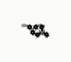 CC(C)(C)c1ccc(N(c2ccc(C(C)(C)C)cc2)c2cccc(-c3cccc(-c4nc(-c5ccccc5)nc(-c5ccccc5)n4)c3)c2)cc1